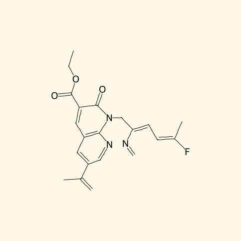 C=N/C(=C\C=C(/C)F)Cn1c(=O)c(C(=O)OCC)cc2cc(C(=C)C)cnc21